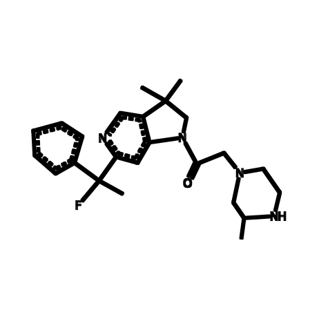 CC1CN(CC(=O)N2CC(C)(C)c3cnc(C(C)(F)c4ccccc4)cc32)CCN1